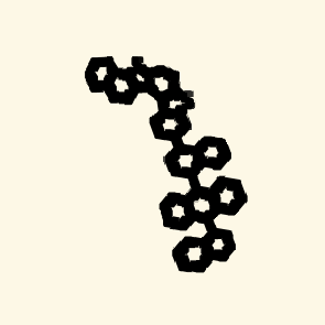 c1ccc2c(-c3c4ccccc4c(-c4ccc(-c5ccc6c(c5)sc5ccc7sc8c9ccccc9ccc8c7c56)c5ccccc45)c4ccccc34)cccc2c1